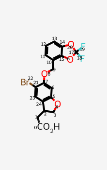 O=C(O)CC1COc2cc(OCc3cccc4c3OC(F)(F)O4)c(Br)cc21